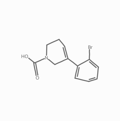 O=C(O)N1CCC=C(c2ccccc2Br)C1